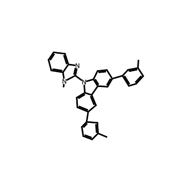 Cc1cccc(-c2ccc3c(c2)c2cc(-c4cccc(C)c4)ccc2n3-c2nc3ccccc3n2C)c1